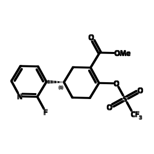 COC(=O)C1=C(OS(=O)(=O)C(F)(F)F)CC[C@H](c2cccnc2F)C1